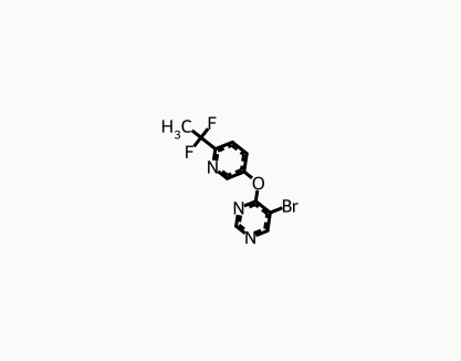 CC(F)(F)c1ccc(Oc2ncncc2Br)cn1